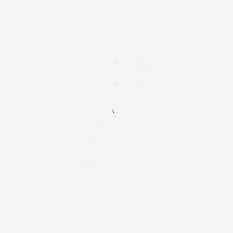 O=C(N[C@H]1CCN(c2nccn3ccnc23)C1)c1csc(N2CCC2)n1